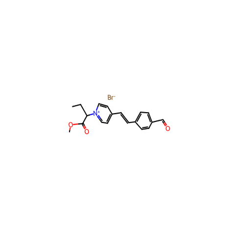 CCC(C(=O)OC)[n+]1ccc(C=Cc2ccc(C=O)cc2)cc1.[Br-]